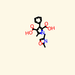 Cc1nc(Cn2c(C)c(C(=O)O)c(-c3ccccc3)c2C(=O)O)co1